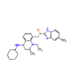 CCN1c2c(C[S+]([O-])c3nc4cc(C)ccc4[nH]3)cccc2C(NC2CCCCC2)CC1C